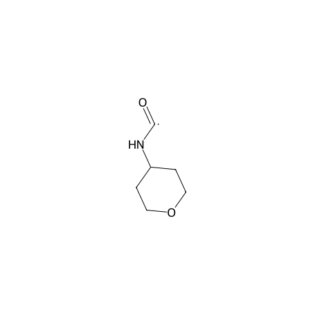 O=[C]NC1CCOCC1